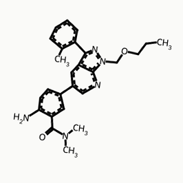 CCCOCn1nc(-c2ccccc2C)c2cc(-c3ccc(N)c(C(=O)N(C)C)c3)cnc21